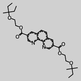 CCC(C)(C)OCCOC(=O)c1cnc2c(ccc3cc(C(=O)OCCOC(C)(CC)CC)cnc32)c1